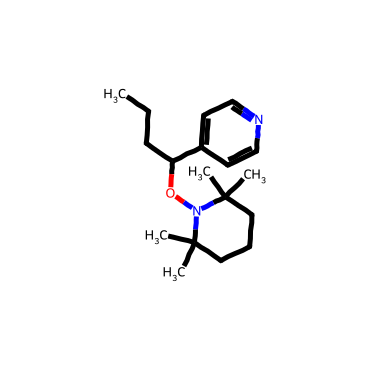 CCCC(ON1C(C)(C)CCCC1(C)C)c1ccncc1